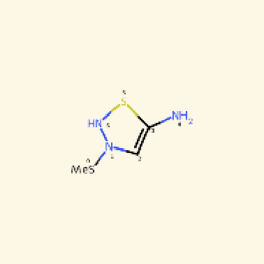 CSN1C=C(N)SN1